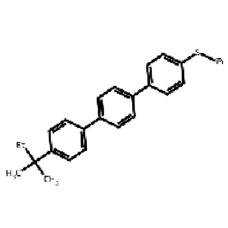 CCC(C)(C)c1ccc(-c2ccc(-c3ccc(SC(C)C)cc3)cc2)cc1